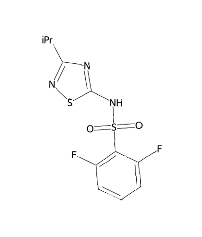 CC(C)c1nsc(NS(=O)(=O)c2c(F)cccc2F)n1